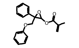 C=C(C)C(=O)OC1OC1(COc1ccccc1)c1ccccc1